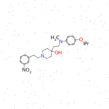 CC(C)Oc1ccc(N(C)CCC2(O)CCN(CCc3cccc([N+](=O)[O-])c3)CC2)cc1